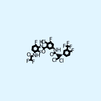 O=C(Nc1c(F)ccc(NC(=O)C(F)F)c1F)c1cc(NC(=O)[C@H]2[C@H](c3ccc(F)c(C(F)(F)F)c3)C2(Cl)Cl)cc(F)c1Cl